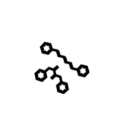 C(=CC=Cc1ccccc1)C=Cc1ccccc1.C=C(Cc1ccccc1)C(=C)Cc1ccccc1